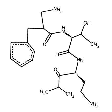 CC(C)C(=O)[C@H](CCN)NC(=O)[C@@H](NC(=O)C(CN)Cc1ccccc1)C(C)O